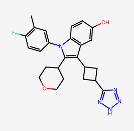 Cc1cc(-n2c(C3CCOCC3)c(C3CC(c4nn[nH]n4)C3)c3cc(O)ccc32)ccc1F